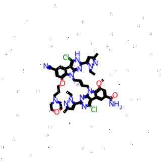 CCn1nc(C)cc1-c1nc(Cl)c2c3cc(C(N)=O)cc(OC)c3n(C/C=C/Cn3c4c(c5cc(C#N)cc(OCCCN6CCOCC6)c53)=C(Cl)NC(c3cc(C)nn3CC)N=4)c2n1